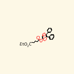 CCOC(=O)CCCCC(=O)OC1=COC(c2ccccc2)=C(c2ccccc2)O1